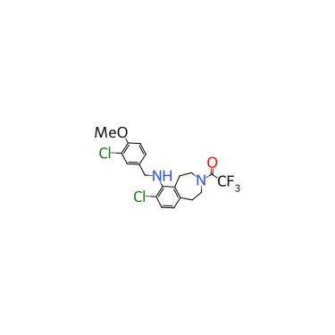 COc1ccc(CNc2c(Cl)ccc3c2CCN(C(=O)C(F)(F)F)CC3)cc1Cl